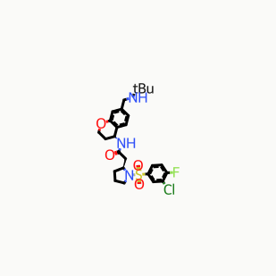 CC(C)(C)NCc1ccc2c(c1)OCC[C@H]2NC(=O)C[C@@H]1CCCN1S(=O)(=O)c1ccc(F)c(Cl)c1